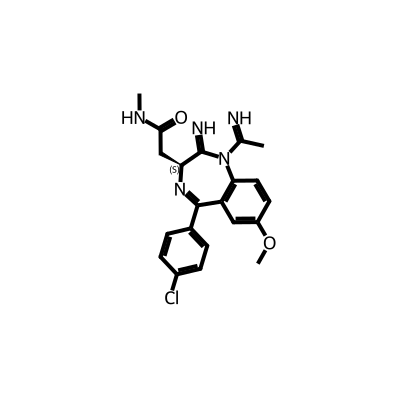 CNC(=O)C[C@@H]1N=C(c2ccc(Cl)cc2)c2cc(OC)ccc2N(C(C)=N)C1=N